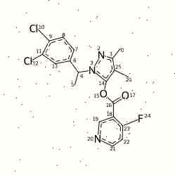 Cc1nn(C(C)c2ccc(Cl)c(Cl)c2)c(OC(=O)c2cnccc2F)c1C